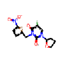 O=c1c(F)cn(C2CCCO2)c(=O)n1Cc1ccc([N+](=O)[O-])s1